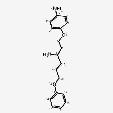 Nc1ccc(OCCC(N)CCCOc2ccccc2)cc1